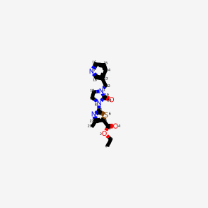 CCOC(=O)c1sc(N2CCN(Cc3cccnc3)C2=O)nc1C